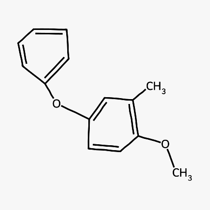 COc1ccc(Oc2ccccc2)cc1C